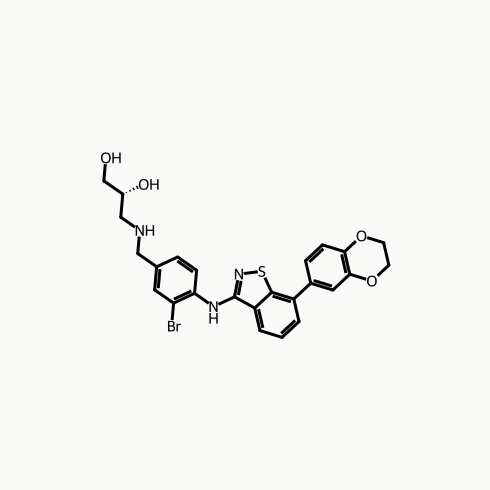 OC[C@H](O)CNCc1ccc(Nc2nsc3c(-c4ccc5c(c4)OCCO5)cccc23)c(Br)c1